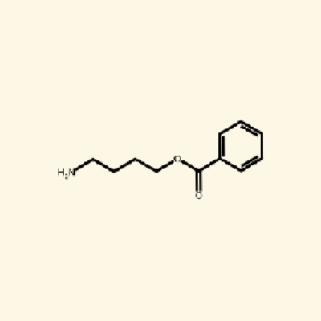 NCCCCOC(=O)c1ccccc1